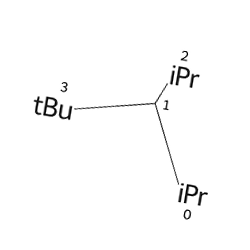 CC(C)C(C(C)C)C(C)(C)C